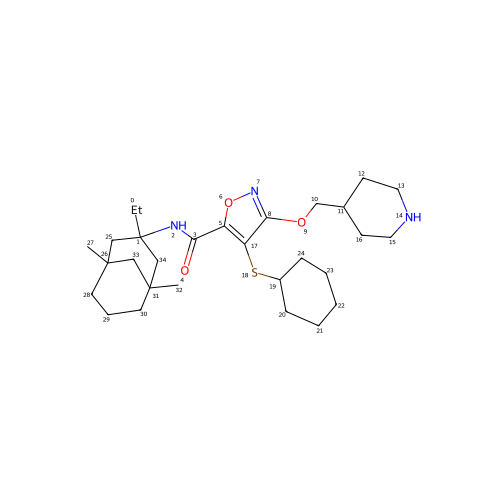 CCC1(NC(=O)c2onc(OCC3CCNCC3)c2SC2CCCCC2)CC2(C)CCCC(C)(C2)C1